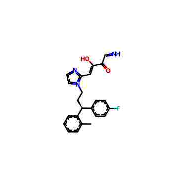 Cc1ccccc1[C@@H](CCn1ccnc1/C=C(\O)C(=O)C=N)c1ccc(F)cc1